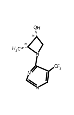 C[C@@H]1[C@H](O)CN1c1ncncc1C(F)(F)F